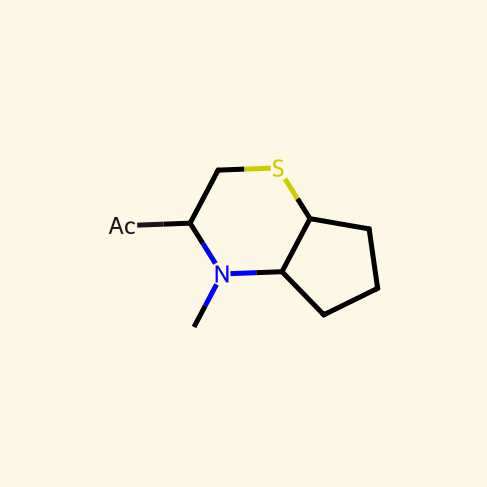 CC(=O)C1CSC2CCCC2N1C